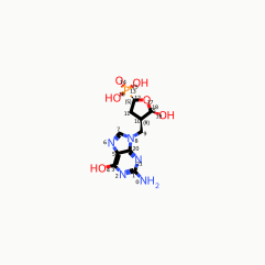 Nc1nc(O)c2ncn(C[C@H]3C[C@H](P(=O)(O)O)O[C@H]3O)c2n1